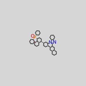 O=P(c1ccccc1)(c1ccccc1)c1ccc(-c2ccc3c4cc5ccccc5cc4c4nc5ccccc5n4c3c2)c2ccccc12